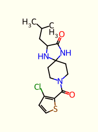 CC(C)CC1NC2(CCN(C(=O)c3sccc3Cl)CC2)NC1=O